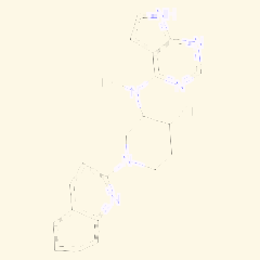 CC1CCN(c2ccc3ccccc3n2)CC1N(C)c1ncnc2[nH]ccc12